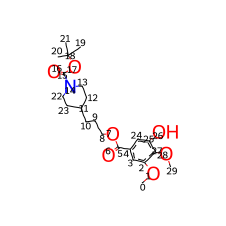 COc1cc(C(=O)OCCCC2CCN(C(=O)OC(C)(C)C)CC2)cc(O)c1OC